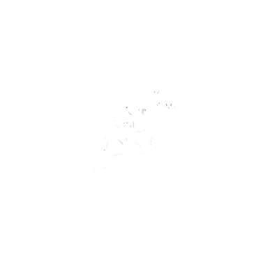 CCCCCCCCCCSc1ccc(C(=O)NC(=O)NCC(CC)OC)c(-c2ccccc2)c1